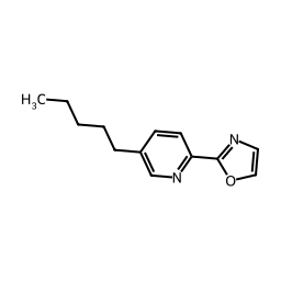 CCCCCc1ccc(-c2ncco2)nc1